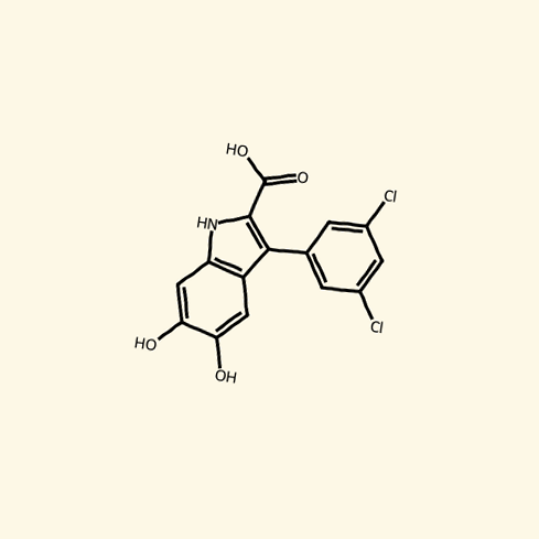 O=C(O)c1[nH]c2cc(O)c(O)cc2c1-c1cc(Cl)cc(Cl)c1